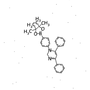 CC1(C)OB(c2ccc(N3CN=C(c4ccccc4)C=C3c3ccccc3)cc2)OC1(C)C